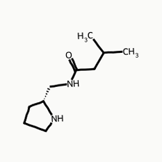 CC(C)CC(=O)NC[C@H]1CCCN1